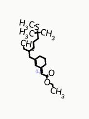 CCOC(=O)/C=C1/C=C(CC(CC)CCCC(C)(C)SC)CCC1